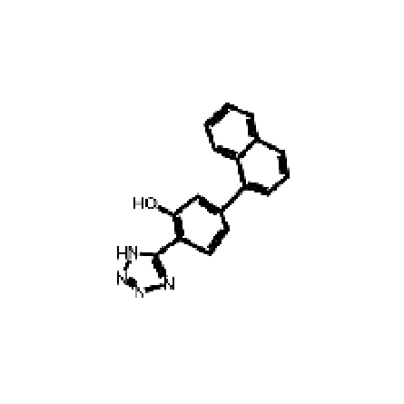 Oc1cc(-c2cccc3ccccc23)ccc1-c1nnn[nH]1